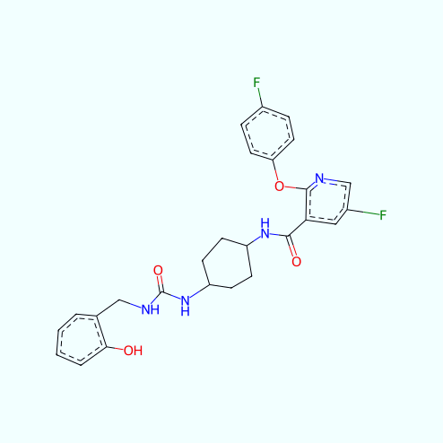 O=C(NCc1ccccc1O)NC1CCC(NC(=O)c2cc(F)cnc2Oc2ccc(F)cc2)CC1